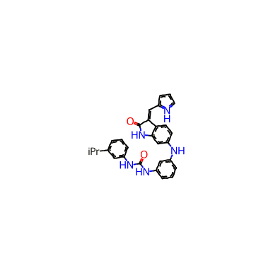 CC(C)c1cccc(NC(=O)Nc2cccc(Nc3ccc4c(c3)NC(=O)C4=Cc3ccc[nH]3)c2)c1